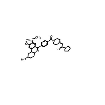 COc1cc2c(cc1OC)C1CC(O)CCC1N=C2c1ccc(C(=O)N2CCN(CC(=O)N3CCCC3)CC2)cc1